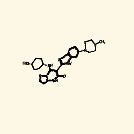 CN1CCN(c2ccc3nc(-c4c(N[C@H]5CC[C@@H](O)CC5)c5sccc5[nH]c4=O)[nH]c3c2)CC1